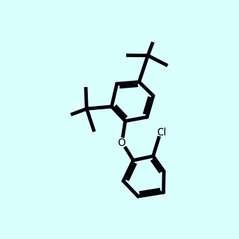 CC(C)(C)c1ccc(Oc2ccccc2Cl)c(C(C)(C)C)c1